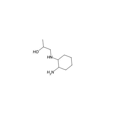 CC(O)CNC1CCCCC1N